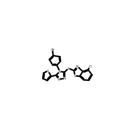 Clc1cccc2sc(Sc3nnc(-c4cccs4)n3-c3ccc(Br)cc3)nc12